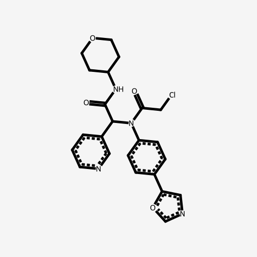 O=C(NC1CCOCC1)C(c1cccnc1)N(C(=O)CCl)c1ccc(-c2cnco2)cc1